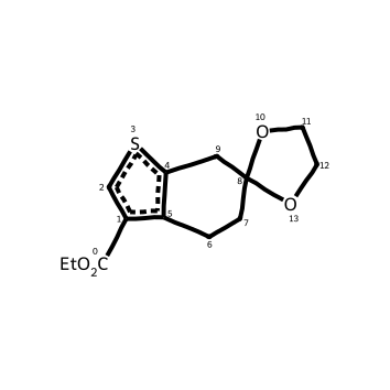 CCOC(=O)c1csc2c1CCC1(C2)OCCO1